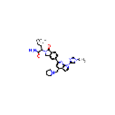 Cn1cnc(-n2ccc3c(CN4CCCC4)cc(-c4ccc5c(c4)CN(C(CCC(=O)O)C(N)=O)C5=O)nc32)c1